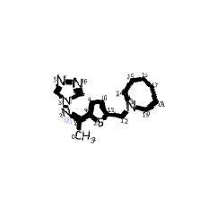 C/C(=N/n1cnnc1)c1ccc(CN2CCCCCC2)s1